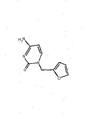 Nc1ccn(Cc2ccco2)c(=O)n1